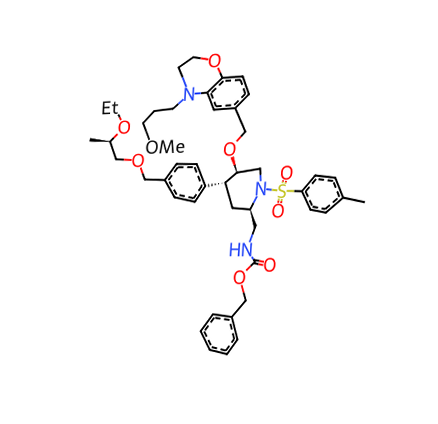 CCO[C@H](C)COCc1ccc([C@H]2C[C@H](CNC(=O)OCc3ccccc3)N(S(=O)(=O)c3ccc(C)cc3)C[C@@H]2OCc2ccc3c(c2)N(CCCOC)CCO3)cc1